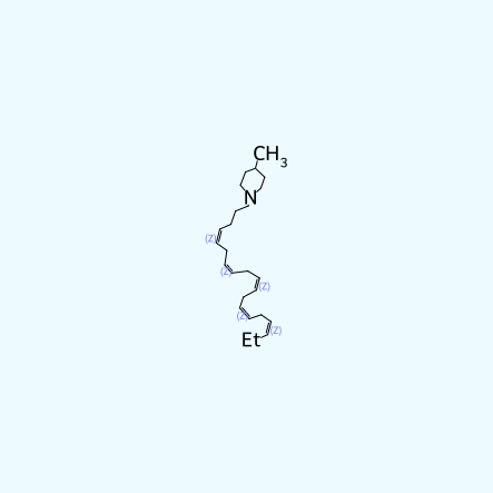 CC/C=C\C/C=C\C/C=C\C/C=C\C/C=C\CCCN1CCC(C)CC1